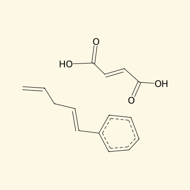 C=CCC=Cc1ccccc1.O=C(O)C=CC(=O)O